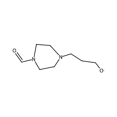 [O]CCCN1CCN(C=O)CC1